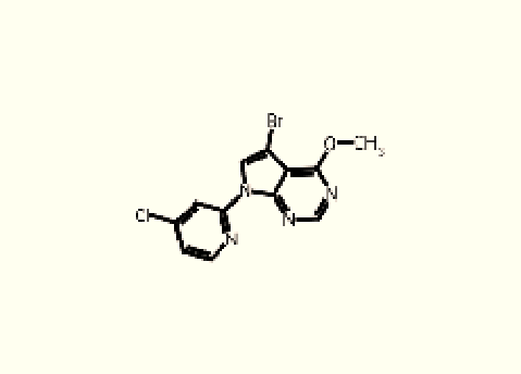 COc1ncnc2c1c(Br)cn2-c1cc(Cl)ccn1